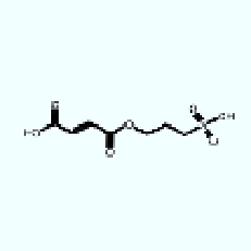 O=C(O)C=CC(=O)OCCCS(=O)(=O)O